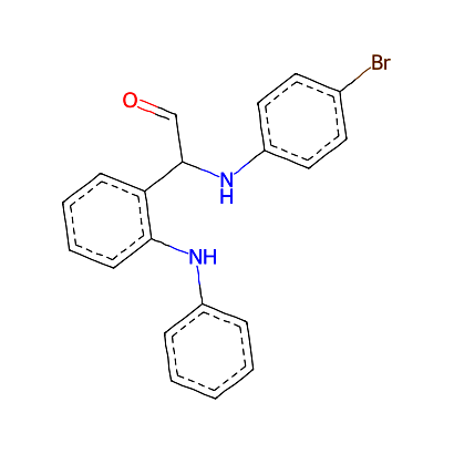 O=CC(Nc1ccc(Br)cc1)c1ccccc1Nc1ccccc1